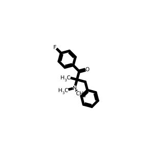 CN(C)C(C)(Cc1ccccc1)C(=O)c1ccc(F)cc1